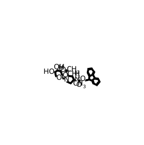 CC1(NC(=O)OCC2c3ccccc3-c3ccccc32)CCN(C[C@@]23OC[C@@H](O)[C@@H](O)[C@@H]2OC(C)(C)O3)CC1